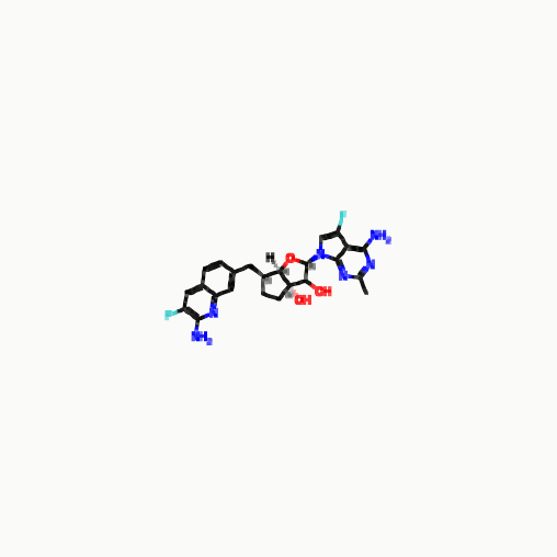 Cc1nc(N)c2c(F)cn([C@@H]3O[C@@H]4[C@H](Cc5ccc6cc(F)c(N)nc6c5)CC[C@]4(O)C3O)c2n1